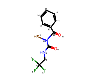 O=C(NCC(F)(F)F)N(S)C(=O)c1ccccc1